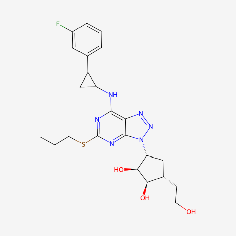 CCCSc1nc(NC2CC2c2cccc(F)c2)c2nnn([C@@H]3C[C@H](CCO)[C@@H](O)[C@H]3O)c2n1